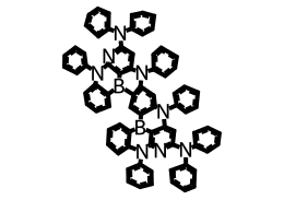 c1ccc(N(c2ccccc2)c2cc3c4c(n2)N(c2ccccc2)c2ccccc2B4c2cc4c(cc2N3c2ccccc2)N(c2ccccc2)c2cc(N(c3ccccc3)c3ccccc3)nc3c2B4c2ccccc2N3c2ccccc2)cc1